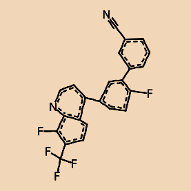 N#Cc1cccc(-c2cc(-c3ccnc4c(F)c(C(F)(F)F)ccc34)ccc2F)c1